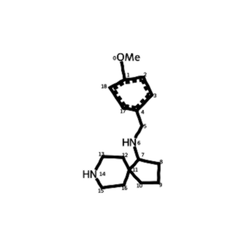 COc1ccc(CNC2CCCC23CCNCC3)cc1